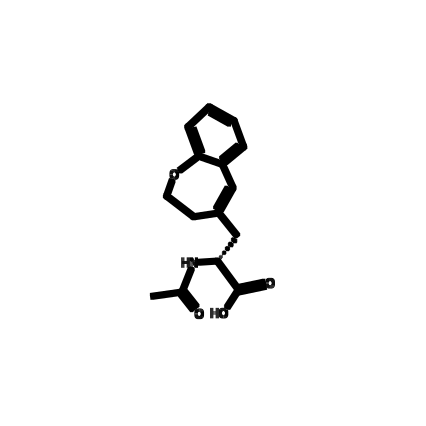 CC(=O)N[C@H](CC1=Cc2ccccc2OCC1)C(=O)O